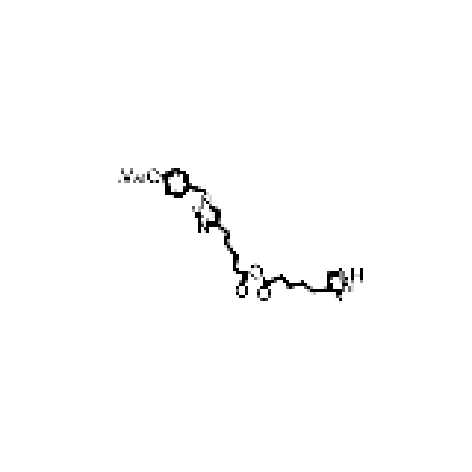 COc1ccc(Cn2cc(CCCCC(=O)OC(=O)CCCCc3c[nH]nn3)nn2)cc1